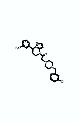 O=C(CN1CCN(Cc2cccc(Cl)c2)CC1)N1CC=C(c2cccc(C(F)(F)F)c2)n2nccc21